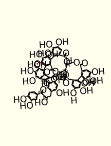 O=C1OC[C@H]2OC(=O)c3cc(O)c(O)c(O)c3-c3c(O)c(O)c(O)c4c3C(=O)O[C@H]([C@@H]3OC(=O)c5c-4c(O)c(O)c(O)c5[C@@H]3c3c(O)cc(O)c4c3O[C@H](c3ccc(O)c(O)c3)[C@@H](O)C4)[C@H]2OC(=O)c2cc(O)c(O)c(O)c2-c2c1cc(O)c(O)c2O